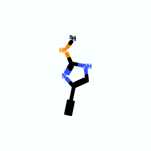 [3H]Pc1nc(C#C)c[nH]1